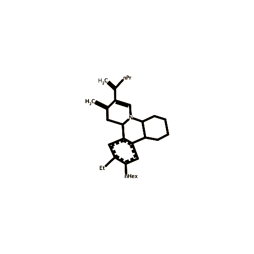 C=C(CCC)C1=CN2C(CC1=C)c1cc(CC)c(CCCCCC)cc1C1CCCCC12